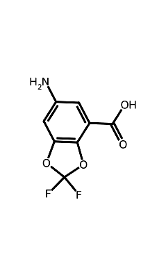 Nc1cc2c(c(C(=O)O)c1)OC(F)(F)O2